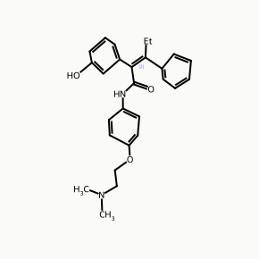 CC/C(=C(/C(=O)Nc1ccc(OCCN(C)C)cc1)c1cccc(O)c1)c1ccccc1